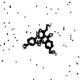 CC(C)CC(=O)c1c(Nc2ccc(Cl)cc2Cl)[nH]c2cc([N+](=O)[O-])ccc2c1=O